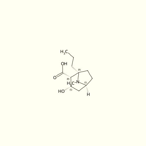 CCC[C@@]12CC[C@@H](C[C@H](O)[C@@H]1C(=O)O)N2C